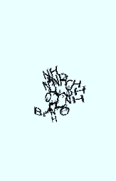 CO.NC1=NC(=O)C(=C2CCNC(=O)c3[nH]c(Br)cc32)N1